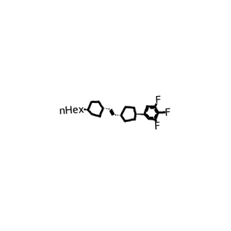 CCCCCC[C@H]1CC[C@H](C=C[C@H]2CC[C@H](c3cc(F)c(F)c(F)c3)CC2)CC1